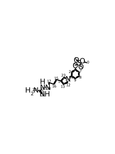 COS(=O)(=O)Oc1cccc(-n2ccc(/C=C/C=N/NC(=N)N)c2)c1